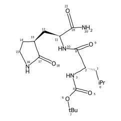 CC(C)C[C@H](NC(=O)OC(C)(C)C)C(=O)N[C@@H](C[C@@H]1CCNC1=O)C(N)=O